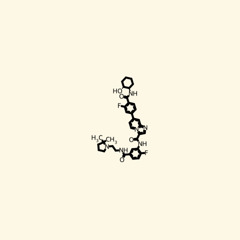 CC1(C)CCCN1CCNC(=O)c1ccc(F)c(NC(=O)c2cnc3cc(-c4ccc(C(=O)N[C@@H]5CCCC[C@H]5O)c(F)c4)ccn23)c1